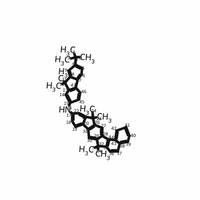 CC(C)(C)c1ccc2c(c1)C(C)(C)c1cc(Nc3ccc4c(c3)C(C)(C)c3cc5c(cc3-4)C(C)(C)c3ccc4ccccc4c3-5)ccc1-2